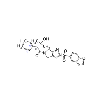 C/C=C\C(=C/C)[C@@H](C(=O)N1Cc2cn(S(=O)(=O)c3ccc4occc4c3)nc2C1)C(C)(C)O